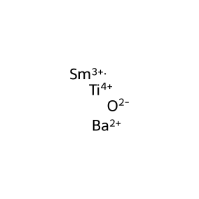 [Ba+2].[O-2].[Sm+3].[Ti+4]